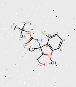 COC(CO)[C@](C)(NC(=O)OC(C)(C)C)c1ccccc1F